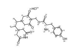 CC(C(C)N1CC(=O)N(COC(=O)[C@@H](N)Cc2ccc(O)cc2)C(=O)C1)N1CC(=O)NC(=O)C1.Cl